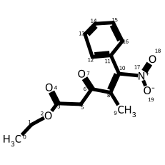 CCOC(=O)CC(=O)C(C)=C(c1ccccc1)[N+](=O)[O-]